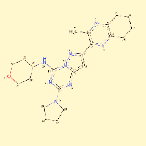 Cc1nc2c(nc1-c1cc3nc(N4CCCC4)nc(NC4CCOCC4)n3n1)CCCC2